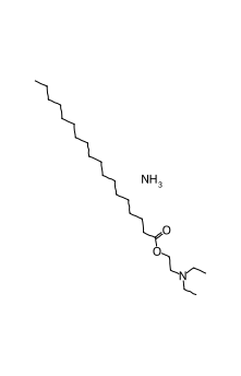 CCCCCCCCCCCCCCCCCC(=O)OCCN(CC)CC.N